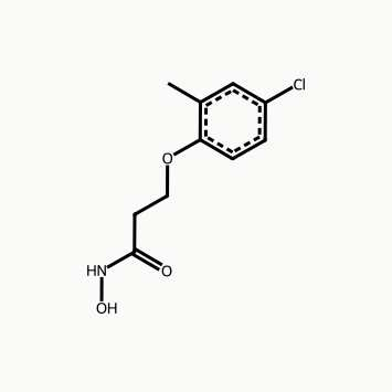 Cc1cc(Cl)ccc1OCCC(=O)NO